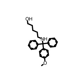 COc1ccc(C(NCCCCCO)(c2ccccc2)c2ccccc2)cc1